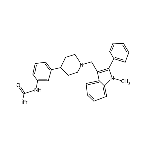 CC(C)C(=O)Nc1cccc(C2CCN(Cc3c(-c4ccccc4)n(C)c4ccccc34)CC2)c1